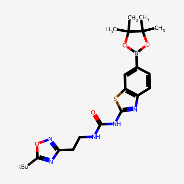 CC(C)(C)c1nc(CCNC(=O)Nc2nc3ccc(B4OC(C)(C)C(C)(C)O4)cc3s2)no1